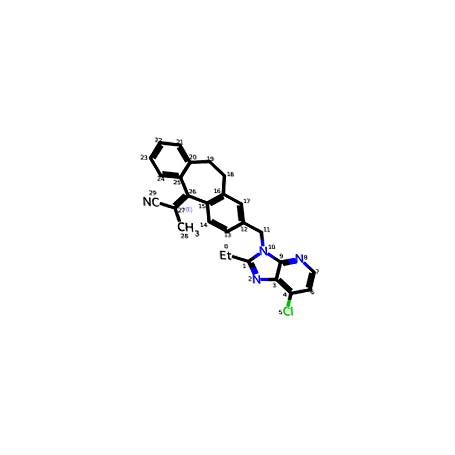 CCc1nc2c(Cl)ccnc2n1Cc1ccc2c(c1)CCc1ccccc1/C2=C(/C)C#N